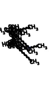 CCCCCC/C=C\CCCCCCCCCC(=O)N[C@H]1[C@H](OC[C@H]2O[C@H](OP(=O)(O)O)[C@H](NC(=O)CC(CCCCCCCCCCC)OC)[C@@H](OCCCCCCCCCC)[C@@H]2O)O[C@H](COC)[C@@H](OP(=O)(O)O)[C@@H]1OCCC(CCCCCCC)OC